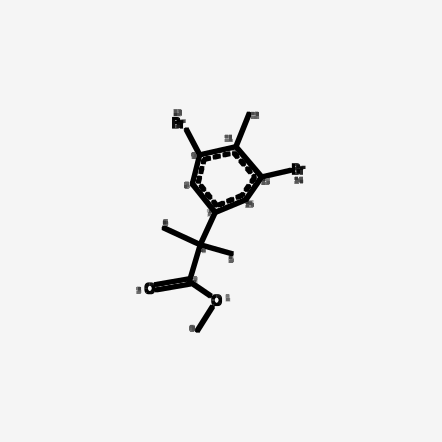 COC(=O)C(C)(C)c1cc(Br)c(C)c(Br)c1